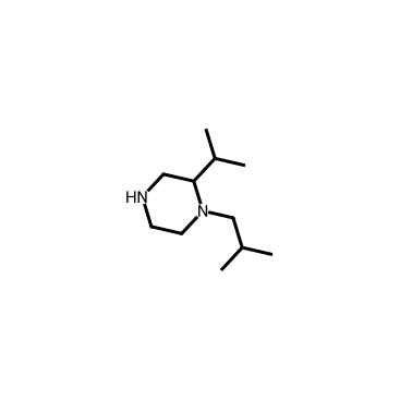 CC(C)CN1CCNCC1C(C)C